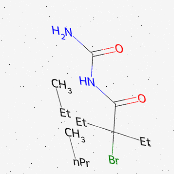 CCC.CCC(Br)(CC)C(=O)NC(N)=O.CCCC